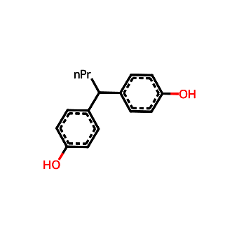 CCCC(c1ccc(O)cc1)c1ccc(O)cc1